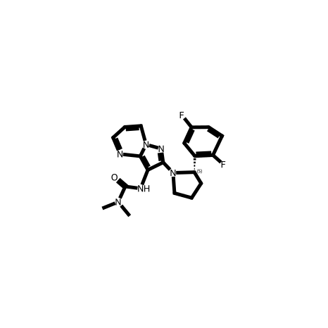 CN(C)C(=O)Nc1c(N2CCC[C@H]2c2cc(F)ccc2F)nn2cccnc12